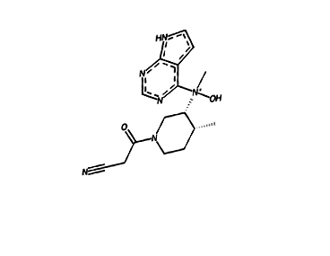 C[C@@H]1CCN(C(=O)CC#N)C[C@@H]1[N+](C)(O)c1ncnc2[nH]ccc12